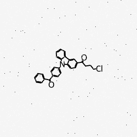 O=C(CCCCl)c1ccc2c(c1)c1ccccc1n2-c1ccc(C(=O)c2ccccc2)cc1